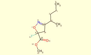 CCCC(C)C1=NOC(F)(C(=O)OC)C1